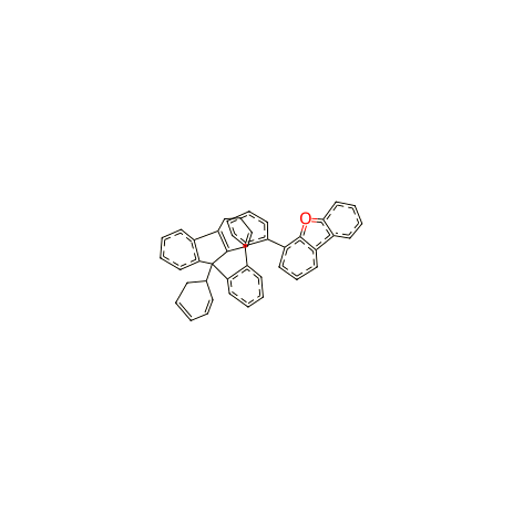 C1=CCC(C2(c3ccccc3-c3ccccc3-c3cccc4c3oc3ccccc34)C3=C(CCC=C3)c3ccccc32)C=C1